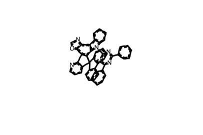 c1ccc(-c2nc(-c3ccccc3)nc(-n3c4ccccc4c4c5ncoc5c5c(c43)C3(c4ccccc4-c4ccccc43)c3cccnc3-5)n2)cc1